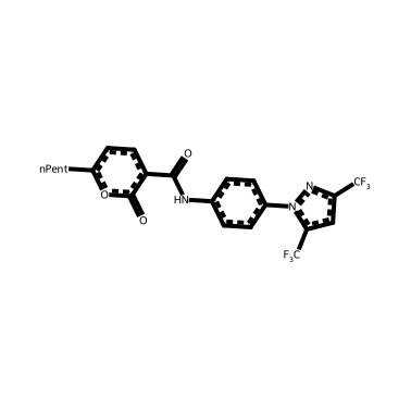 CCCCCc1ccc(C(=O)Nc2ccc(-n3nc(C(F)(F)F)cc3C(F)(F)F)cc2)c(=O)o1